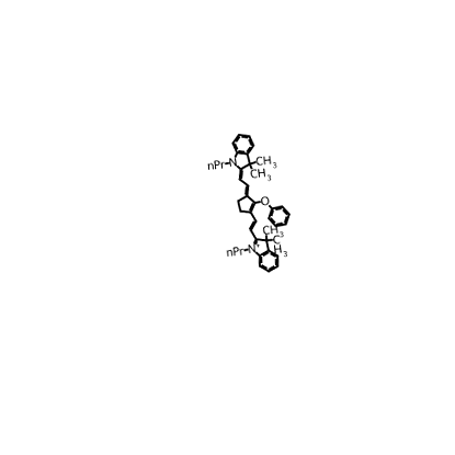 CCCN1/C(=C/C=C2\CCC(/C=C/C3=[N+](CCC)c4ccccc4C3(C)C)=C2Oc2ccccc2)C(C)(C)c2ccccc21